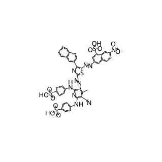 Cc1c(C#N)c(Nc2ccc(S(=O)(=O)O)cc2)nc(Nc2ccc(S(=O)(=O)O)cc2)c1/N=N/c1nc(-c2ccc3ccccc3c2)c(/N=N/c2cc(S(=O)(=O)O)c3cc([N+](=O)[O-])ccc3c2)s1